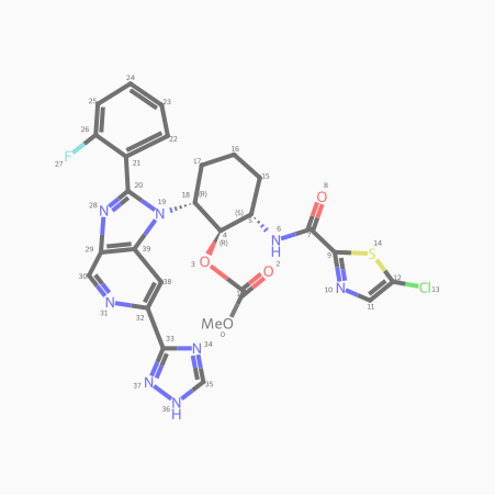 COC(=O)O[C@@H]1[C@@H](NC(=O)c2ncc(Cl)s2)CCC[C@H]1n1c(-c2ccccc2F)nc2cnc(-c3nc[nH]n3)cc21